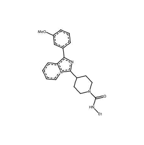 CCNC(=O)N1CCC(c2nc(-c3cccc(OC)c3)c3ccccn23)CC1